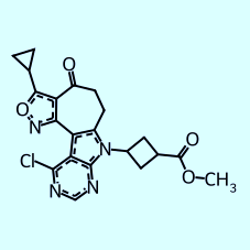 COC(=O)C1CC(n2c3c(c4c(Cl)ncnc42)-c2noc(C4CC4)c2C(=O)CC3)C1